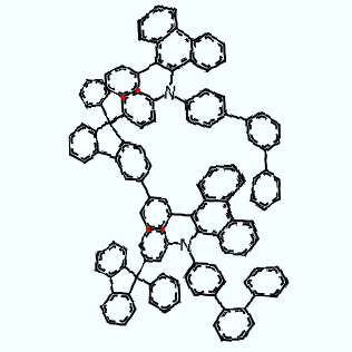 c1ccc(-c2cccc(-c3ccc(N(c4ccc(C5(c6ccccc6)c6ccccc6-c6cc(-c7cccc(-c8c(N(c9ccc(-c%10ccccc%10-c%10ccccc%10)cc9)c9cccc(C%10(c%11ccccc%11)c%11ccccc%11-c%11ccccc%11%10)c9)c9ccccc9c9ccccc89)c7)ccc65)cc4)c4c(-c5ccccc5)c5ccccc5c5ccccc45)cc3)c2)cc1